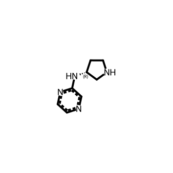 c1cnc(N[C@@H]2CCNC2)cn1